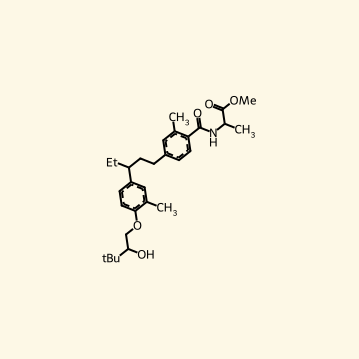 CCC(CCc1ccc(C(=O)NC(C)C(=O)OC)c(C)c1)c1ccc(OCC(O)C(C)(C)C)c(C)c1